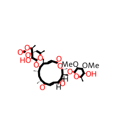 CO[C@@H]1[C@H](O)[C@@H](C)O[C@@H](OC[C@H]2[C@@H]3O[C@H]3/C=C/C(=O)[C@H](C)C[C@H](C)[C@H](O[C@@H]3O[C@H](C)C[C@@]4(OC(=O)O[C@H]4C)[C@H]3O)[C@@H](C)/C=C/C(=O)O[C@@H]2C)[C@@H]1OC